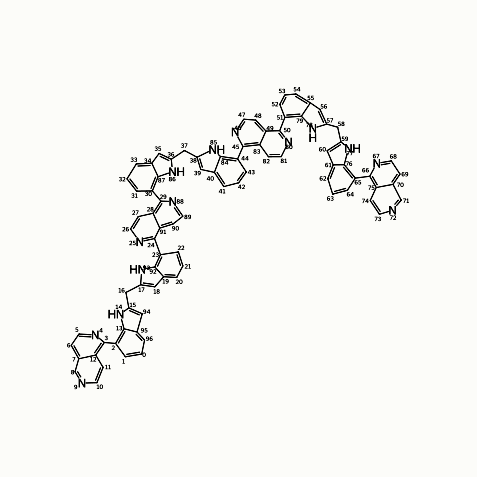 c1cc(-c2nccc3cnccc23)c2[nH]c(Cc3cc4cccc(-c5nccc6c(-c7cccc8cc(Cc9cc%10cccc(-c%11nccc%12c(-c%13cccc%14cc(Cc%15cc%16cccc(-c%17nccc%18cnccc%17%18)c%16[nH]%15)[nH]c%13%14)nccc%11%12)c%10[nH]9)[nH]c78)nccc56)c4[nH]3)cc2c1